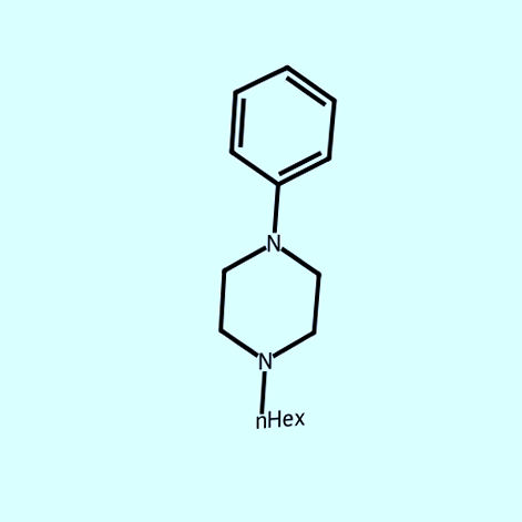 CCCCCCN1CCN(c2ccccc2)CC1